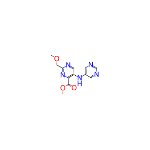 COCc1ncc(Nc2cncnc2)c(C(=O)OC)n1